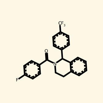 O=C(c1ccc(F)cc1)N1CCc2ccccc2C1c1ccc(C(F)(F)F)cc1